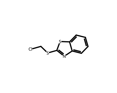 ClCSc1nc2ccccc2s1